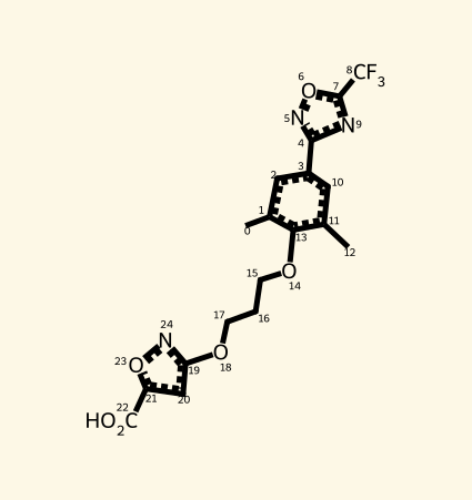 Cc1cc(-c2noc(C(F)(F)F)n2)cc(C)c1OCCCOc1cc(C(=O)O)on1